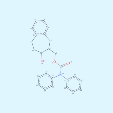 O=C(OCC1Cc2ccccc2CCC1O)N(c1ccccc1)c1ccccc1